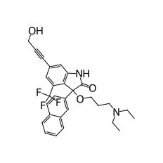 CCN(CC)CCCOC1(c2ccc3ccccc3c2)C(=O)Nc2cc(C#CCO)cc(C(F)(F)F)c21